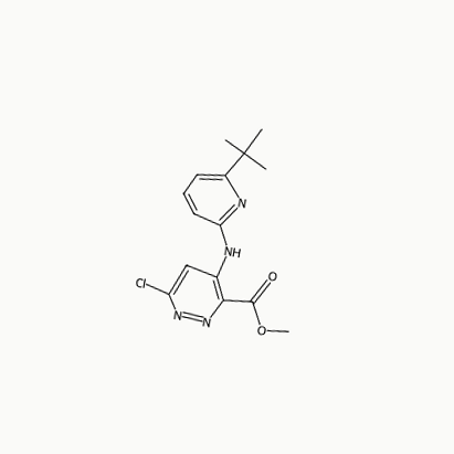 COC(=O)c1nnc(Cl)cc1Nc1cccc(C(C)(C)C)n1